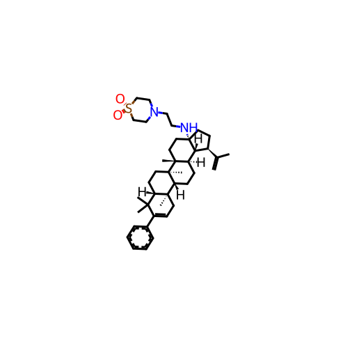 C=C(C)[C@@H]1CC[C@]2(NCCN3CCS(=O)(=O)CC3)CC[C@]3(C)[C@H](CC[C@@H]4[C@@]5(C)CC=C(c6ccccc6)C(C)(C)[C@@H]5CC[C@]43C)[C@@H]12